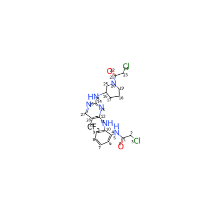 O=C(CCl)Nc1ccccc1Nc1nc(NC2CCCN(C(=O)CCl)C2)ncc1C(F)(F)F